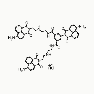 Cl.Cl.Nc1ccc2c3c(cccc13)C(=O)N(CCNCCNC(=O)c1cc(C(=O)NCCNCCN3C(=O)c4cccc5c(N)ccc(c45)C3=O)cc(N3C(=O)c4cccc5c(N)ccc(c45)C3=O)c1)C2=O